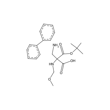 COCNC(CN)(C(=O)O)C(=O)OC(C)(C)C.c1ccc(-c2ccccc2)cc1